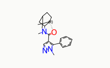 CN(C(=O)c1cnn(C)c1-c1ccccc1)C1CC2CC[C@]1(C)C2(C)C